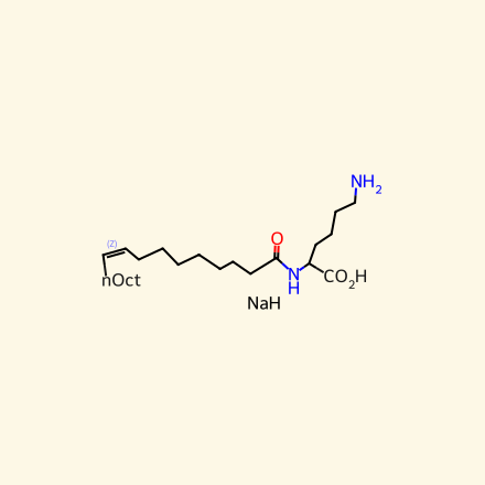 CCCCCCCC/C=C\CCCCCCCC(=O)NC(CCCCN)C(=O)O.[NaH]